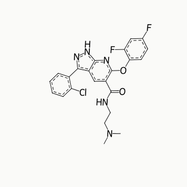 CN(C)CCNC(=O)c1cc2c(-c3ccccc3Cl)n[nH]c2nc1Oc1ccc(F)cc1F